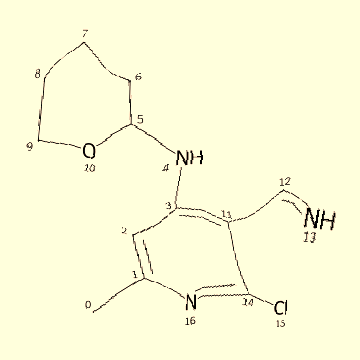 Cc1cc(NC2CCCCO2)c(C=N)c(Cl)n1